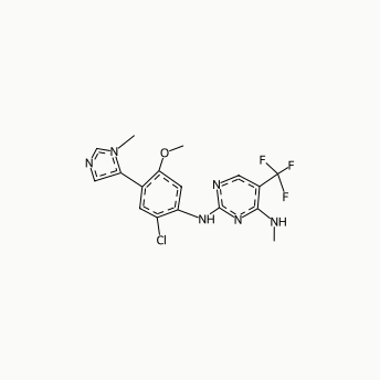 CNc1nc(Nc2cc(OC)c(-c3cncn3C)cc2Cl)ncc1C(F)(F)F